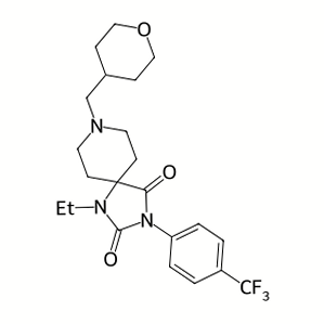 CCN1C(=O)N(c2ccc(C(F)(F)F)cc2)C(=O)C12CCN(CC1CCOCC1)CC2